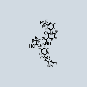 Cc1nc(CS(=O)(=O)c2ccc(CNC(=O)c3ccc(C)n(-c4cccc(C(F)(F)F)c4)c3=O)cc2)cs1.O=C(O)C(F)(F)F